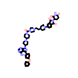 Nc1ncnc2c1c(-c1ccc(Oc3ccccc3)cc1)nn2C1CCN(C2CCN(C(=O)N3CCN(CCC4CCN(c5ccc6c(c5)C(=O)N(C5CCC(=O)NC5=O)C6=O)CC4)CC3)CC2)CC1